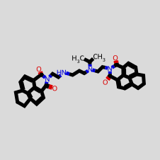 CC(C)N(CCCNCCN1C(=O)c2ccc3c4c(ccc(c24)C1=O)CCC3)CCN1C(=O)c2ccc3c4c(ccc(c24)C1=O)CCC3